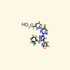 O=C(O)CC1CCCN(c2nc(-c3cc(-c4ccon4)n(Cc4ccccc4F)n3)ncc2F)C1